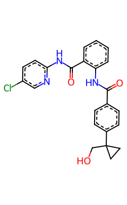 O=C(Nc1ccccc1C(=O)Nc1ccc(Cl)cn1)c1ccc(C2(CO)CC2)cc1